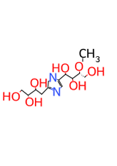 CCO[C@H](CO)[C@@H](O)[C@H](O)c1cnc(C[C@H](O)[C@H](O)CO)cn1